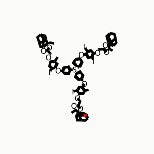 CCC1(OC(=O)COc2cc(I)c(Oc3ccc([S+](c4ccc(Oc5cc(I)c(OCC(=O)OC6(CC)C7CC8CC(C7)CC6C8)cc5C)cc4)c4ccc(Oc5cc(I)c(OCC(=O)OC6(CC)C7CC8CC(C7)CC6C8)cc5I)cc4)cc3)cc2C)C2CC3CC(C2)CC1C3